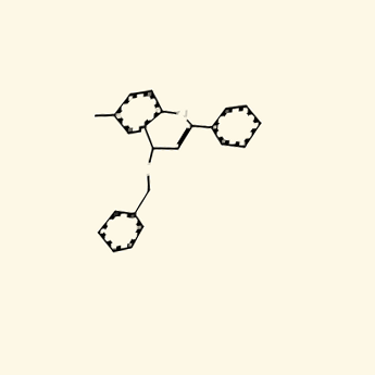 Cc1ccc2c(c1)C(OCc1ccccc1)C=C(c1ccccc1)N2